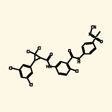 CS(=O)(=NC#N)c1ccc(NC(=O)c2cc(NC(=O)C3C(c4cc(Cl)cc(Cl)c4)C3(Cl)Cl)ccc2Cl)cc1